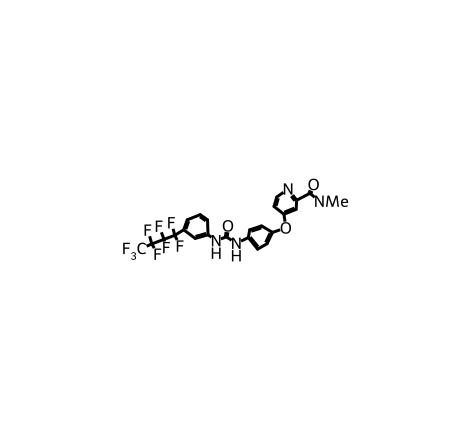 CNC(=O)c1cc(Oc2ccc(NC(=O)Nc3cccc(C(F)(F)C(F)(F)C(F)(F)C(F)(F)F)c3)cc2)ccn1